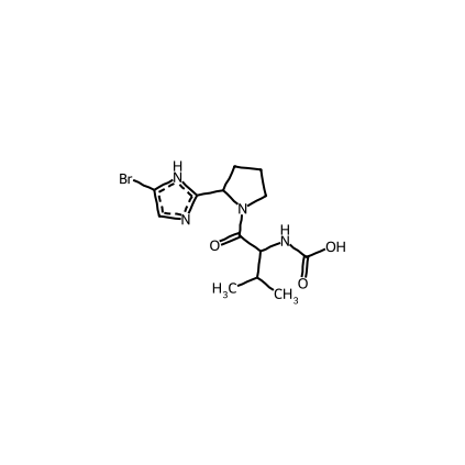 CC(C)C(NC(=O)O)C(=O)N1CCCC1c1ncc(Br)[nH]1